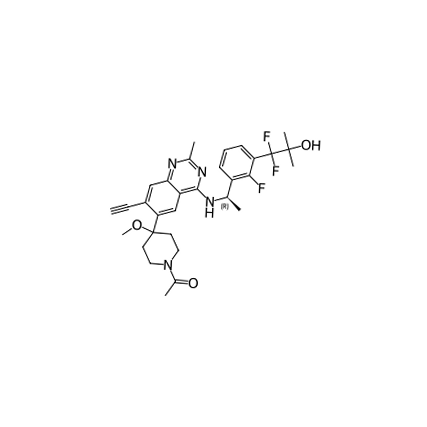 C#Cc1cc2nc(C)nc(N[C@H](C)c3cccc(C(F)(F)C(C)(C)O)c3F)c2cc1C1(OC)CCN(C(C)=O)CC1